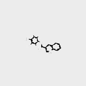 O=C(Oc1c(F)c(F)c(F)c(F)c1F)c1cnc2ccccc2c1